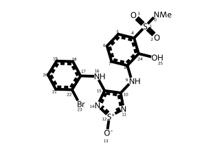 CNS(=O)(=O)c1cccc(Nc2n[s+]([O-])nc2Nc2ccccc2Br)c1O